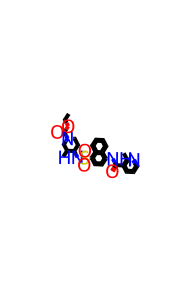 CCOC(=O)N1CCC(NS(=O)(=O)c2ccc(NC(=O)c3cccnc3C)c3ccccc23)C(C)C1